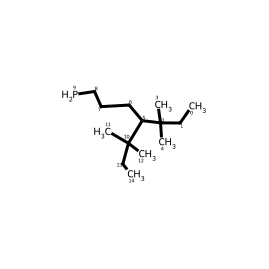 CCC(C)(C)C(CCCP)C(C)(C)CC